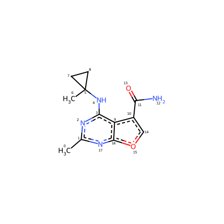 Cc1nc(NC2(C)CC2)c2c(C(N)=O)coc2n1